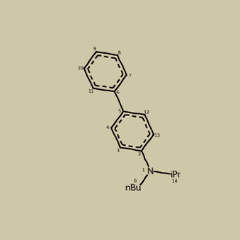 CCCCN(c1ccc(-c2ccccc2)cc1)C(C)C